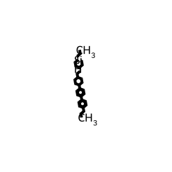 CCCc1ccc(-c2ccc(C3CCC(CC[C@H]4CC[Si@H](CCC)CC4)CC3)cc2)cc1